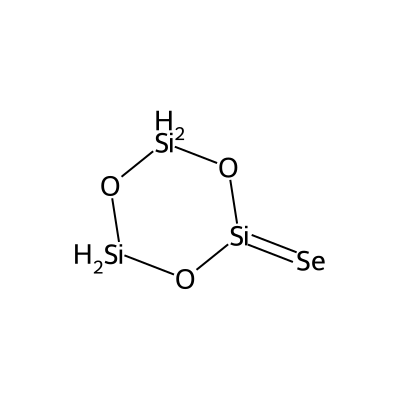 [Se]=[Si]1O[SiH2]O[SiH2]O1